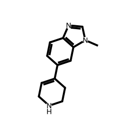 Cn1cnc2ccc(C3=CCNCC3)cc21